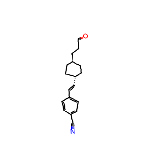 N#Cc1ccc(/C=C/[C@H]2CC[C@H](CCC=O)CC2)cc1